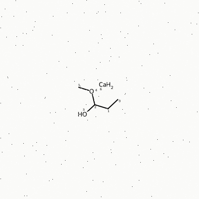 CCC(O)OC.[CaH2]